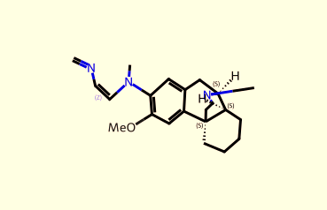 C=N/C=C\N(C)c1cc2c(cc1OC)[C@]13CCCC[C@@H]1[C@H](C2)N(C)CC3